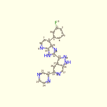 Fc1cccc(-c2ccnc3[nH]c(-c4n[nH]c5cnc(-c6cnccn6)cc45)nc23)c1